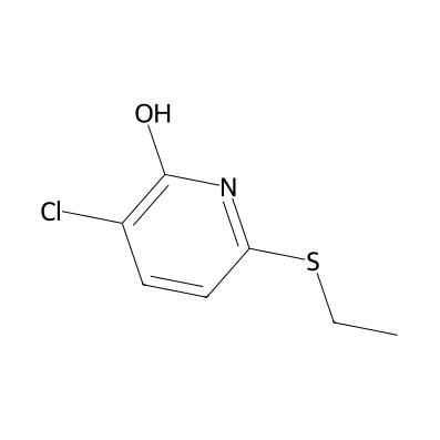 CCSc1ccc(Cl)c(O)n1